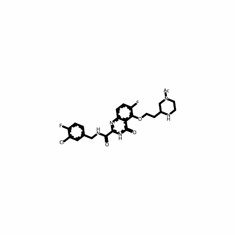 CC(=O)N1CCNC(CCOc2c(F)ccc3nc(C(=O)NCc4ccc(F)c(Cl)c4)[nH]c(=O)c23)C1